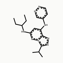 CCC(CC)Nc1cc(Nc2ccnnc2)c2nnc(C(C)C)n2n1